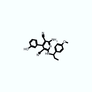 CCC(Nc1nc(N)c(C#N)c(-c2cccc(O)c2)c1C#N)c1ccc(OC)cc1